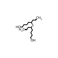 C=CCC(CCCCO)SC(CC=C)CCCCO